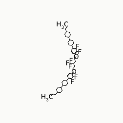 CCCC1CCC(C2CCC(c3ccc(OCCC(CCOc4ccc(C5CCC(C6CCC(CCC)CC6)CC5)c(F)c4F)C(F)(F)F)c(F)c3F)CC2)CC1